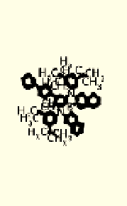 Cc1cc(-c2ccccc2)cc(C)c1-c1cc2c3c(c1)N(c1cc(C(C)(C)C)cc(C(C)(C)C)c1)c1cc4ccccc4cc1B3c1cc3ccccc3cc1N2c1cc(C(C)(C)C)cc(C(C)(C)C)c1